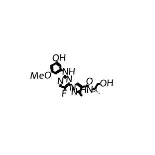 COc1cc(O)cc(Nc2ncc(F)c(-n3cc(C(=O)N[C@@H](C)CO)c(C)n3)n2)c1